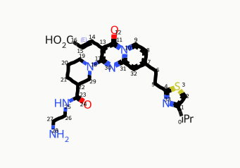 CC(C)c1csc(CCc2ccn3c(=O)c(/C=C/C(=O)O)c(N4CCCC(C(=O)NCCN)C4)nc3c2)n1